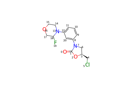 O=C1O[C@H](CCl)CN1c1cccc(N2CCOCC2F)c1